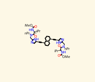 CCCN(Cc1ncc(C#Cc2cccc3c(C#Cc4cnc(CN(CCC)C(=O)[C@@H](NC(=O)OC)C(C)C)[nH]4)cccc23)[nH]1)C(=O)[C@@H](NC(=O)OC)C(C)C